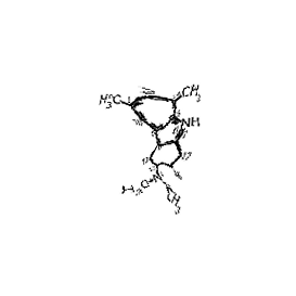 Cc1cc(C)c2[nH]c3c(c2c1)CC(N(C)C)CC3